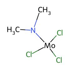 C[N](C)[Mo]([Cl])([Cl])[Cl]